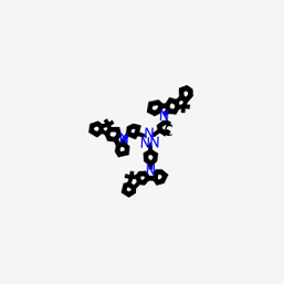 CC1(C)c2ccccc2-c2cc3c4ccccc4n(-c4ccc(-c5nc(-c6cccc(-n7c8ccccc8c8cc9c(cc87)C(C)(C)c7ccccc7-9)c6)nc(-c6cccc(-n7c8ccccc8c8cc9c(cc87)C(C)(C)c7ccccc7-9)c6)n5)cc4)c3cc21